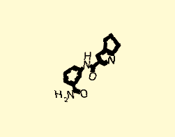 NC(=O)c1cccc(NC(=O)c2cnc3c(c2)CCC3)c1